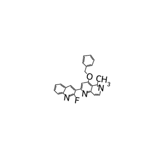 Cc1nccc2nc(-c3cc4ccccc4nc3F)cc(OCc3ccccc3)c12